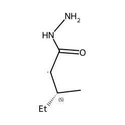 CC[C@@H](C)[CH]C(=O)NN